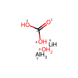 O.O=C(O)O.[AlH3].[LiH]